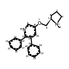 CN1CCC[C@@H]1COc1cnc(-c2ccccc2)c(-c2ccccc2)c1